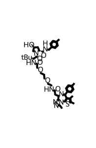 Cc1ccc(CNC(=O)[C@@H]2C[C@H](O)CN2C(=O)[C@@H](NC(=O)COCCCOCCNC(=O)CC2N=C(c3ccc(C)cc3)c3c(sc(C)c3C)-n3c(C)nnc32)C(C)(C)C)cc1